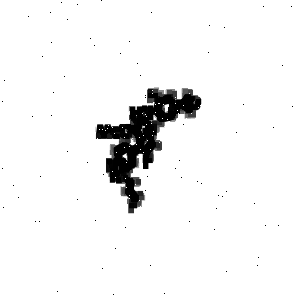 COc1nc(N[C@H]2CCN(C3COC3)C[C@H]2F)nn2cc(F)c(-c3ccc4nnn(CCCF)c4c3)c12